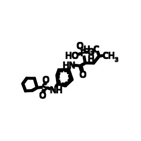 CC(C)CC(C(=O)Nc1ccc(NS(=O)(=O)C2CCCCC2)cc1)P(=O)(O)O